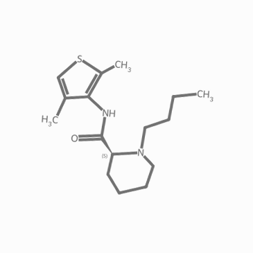 CCCCN1CCCC[C@H]1C(=O)Nc1c(C)csc1C